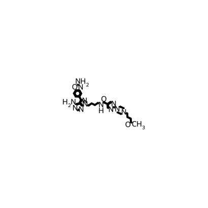 CC(=O)CCCN1CCN(c2ncc(C(=O)NCCCCn3nc(-c4ccc5oc(N)nc5c4)c4c(N)ncnc43)cn2)CC1